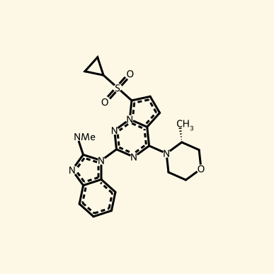 CNc1nc2ccccc2n1-c1nc(N2CCOC[C@H]2C)c2ccc(S(=O)(=O)C3CC3)n2n1